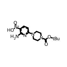 CC(C)(C)OC(=O)N1CCN(c2ccc([N+](=O)O)c(N)n2)CC1